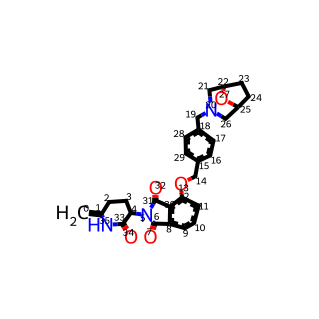 C=C1CCC(N2C(=O)c3cccc(OCc4ccc(CN5CC6CCC(C5)O6)cc4)c3C2=O)C(=O)N1